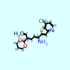 C=C/C(=C\C=C(/N)c1cc2nccc(Cl)c2s1)C1OCCCO1